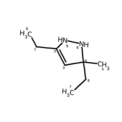 CCC1=CC(C)(CC)NN1